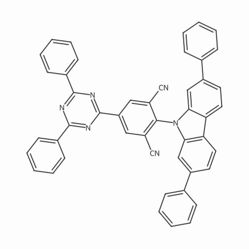 N#Cc1cc(-c2nc(-c3ccccc3)nc(-c3ccccc3)n2)cc(C#N)c1-n1c2cc(-c3ccccc3)ccc2c2ccc(-c3ccccc3)cc21